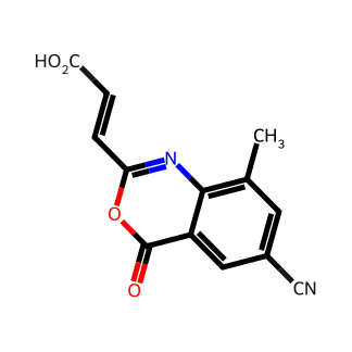 Cc1cc(C#N)cc2c(=O)oc(C=CC(=O)O)nc12